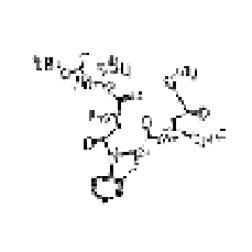 CC[C@H](C)[C@H](NC(=O)OC(C)(C)C)C(=O)NCC(=O)N1c2ccccc2C[C@H]1C(=O)N[C@H](C=O)CC(=O)OC(C)(C)C